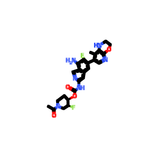 CC(=O)N1CC[C@@H](OC(=O)Nc2cc3cc(-c4cnc5c(c4C)NCCO5)c(F)c(N)c3cn2)[C@@H](F)C1